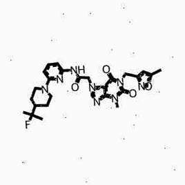 Cc1cc(Cn2c(=O)c3c(ncn3CC(=O)Nc3cccc(N4CCC(C(C)(C)F)CC4)n3)n(C)c2=O)no1